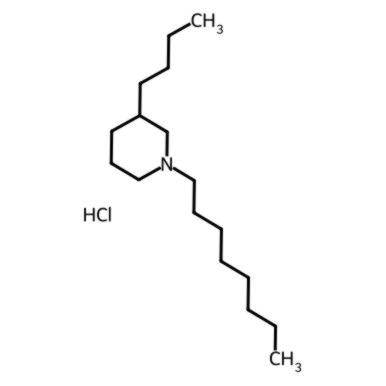 CCCCCCCCN1CCCC(CCCC)C1.Cl